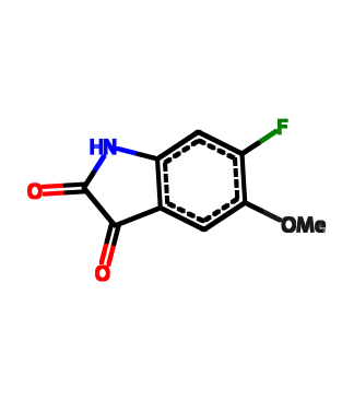 COc1cc2c(cc1F)NC(=O)C2=O